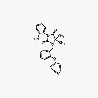 CC1(C)C(=O)N(c2ccccc2N)C(=O)N1Cc1ccccc1Oc1ccccc1